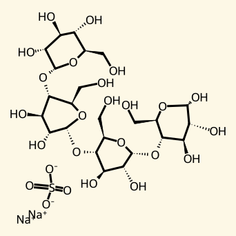 O=S(=O)([O-])[O-].OC[C@H]1O[C@H](O[C@H]2[C@H](O)[C@@H](O)[C@@H](O[C@H]3[C@H](O)[C@@H](O)[C@@H](O[C@H]4[C@H](O)[C@@H](O)[C@@H](O)O[C@@H]4CO)O[C@@H]3CO)O[C@@H]2CO)[C@H](O)[C@@H](O)[C@@H]1O.[Na+].[Na+]